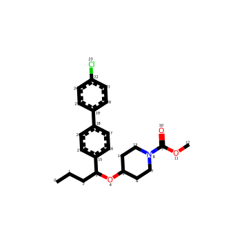 CCCC(OC1CCN(C(=O)OC)CC1)c1ccc(-c2ccc(Cl)cc2)cc1